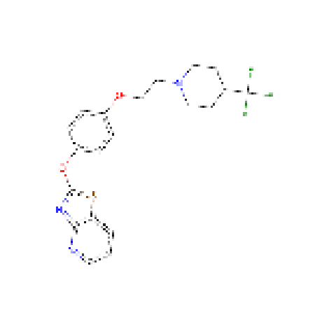 FC(F)(F)C1CCN(CCOc2ccc(Oc3nc4ncccc4s3)cc2)CC1